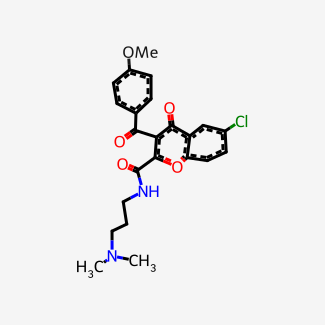 COc1ccc(C(=O)c2c(C(=O)NCCCN(C)C)oc3ccc(Cl)cc3c2=O)cc1